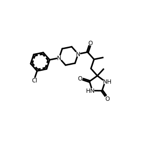 CC(CC1(C)NC(=O)NC1=O)C(=O)N1CCN(c2cccc(Cl)c2)CC1